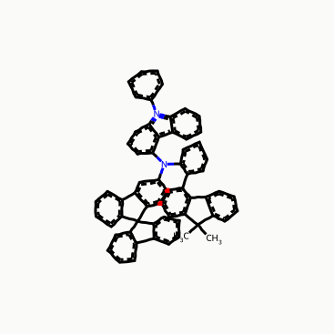 CC1(C)c2ccccc2-c2c(-c3ccccc3N(c3ccc4c(c3)-c3ccccc3C43c4ccccc4-c4ccccc43)c3cccc4c3c3ccccc3n4-c3ccccc3)cccc21